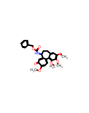 COc1cc2c(c(OC)c1OC)-c1ccc(OC)c(=O)cc1C(NC(=O)OCc1ccccc1)CC2